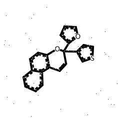 C1=CC(c2ccsc2)(c2ccco2)Oc2ccc3ccccc3c21